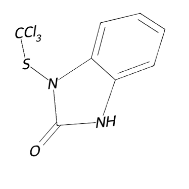 O=c1[nH]c2ccccc2n1SC(Cl)(Cl)Cl